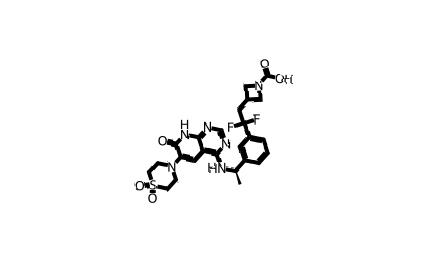 C[C@@H](Nc1ncnc2[nH]c(=O)c(N3CCS(=O)(=O)CC3)cc12)c1cccc(C(F)(F)CC2CN(C(=O)O)C2)c1